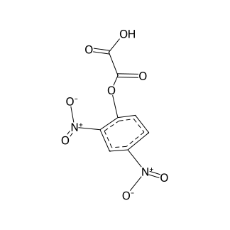 O=C(O)C(=O)Oc1ccc([N+](=O)[O-])cc1[N+](=O)[O-]